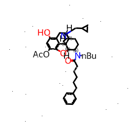 CCCCN(C(=O)CCCCCc1ccccc1)[C@H]1CC[C@H]2[C@H]3Cc4c(O)cc(OC(C)=O)c5c4[C@@]2(CCN3CC2CC2)[C@H]1O5